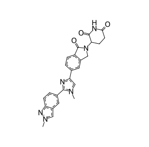 Cn1cc2cc(-c3nc(-c4ccc5c(c4)CN(C4CCC(=O)NC4=O)C5=O)cn3C)ccc2n1